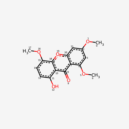 COc1cc(OC)c2c(=O)c3c(O)ccc(OC)c3oc2c1